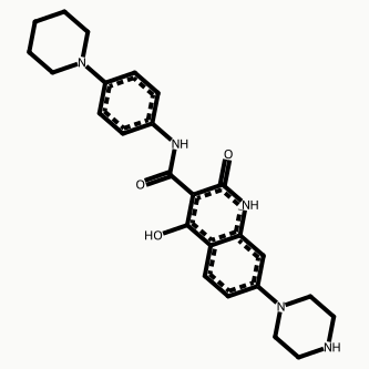 O=C(Nc1ccc(N2CCCCC2)cc1)c1c(O)c2ccc(N3CCNCC3)cc2[nH]c1=O